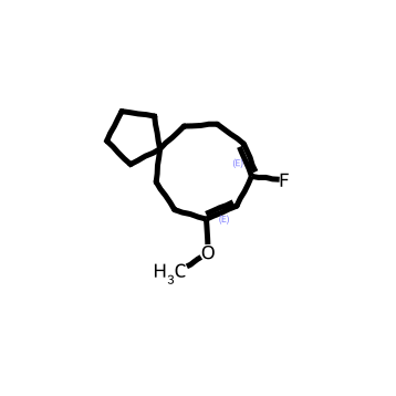 CO/C1=C/C(F)=C\CCC2(CCCC2)CC1